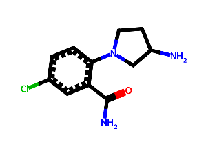 NC(=O)c1cc(Cl)ccc1N1CCC(N)C1